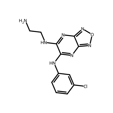 NCCNc1nc2nonc2nc1Nc1cccc(Cl)c1